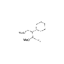 COCC(C1CCCCC1)C(C)OC